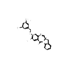 CCc1cc(C)cc(COc2cc3c(cc2C)C(=O)N2c4ccccc4C[C@H]2C=N3)c1